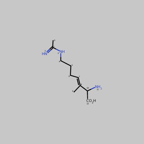 CC(=N)NCCC/C=C(\C)C(N)C(=O)O